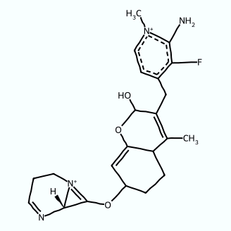 CC1=C(Cc2cc[n+](C)c(N)c2F)C(O)OC2=CC(OC3=[N+]4CCC=N[C@@H]34)CCC21